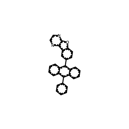 c1ccc(-c2c3ccccc3c(-c3ccc4oc5nccnc5c4c3)c3ccccc23)cc1